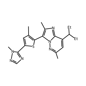 CCC(CC)c1cc(C)nn2c(-c3sc(-c4ncnn4C)cc3C)c(C)nc12